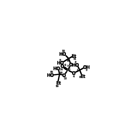 CCC(O)(O)OP(=O)(OC(O)(O)CC)OC(O)(O)CC